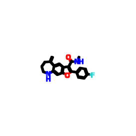 C=C1CCCNc2cc3oc(-c4ccc(F)cc4)c(C(=O)NC)c3cc21